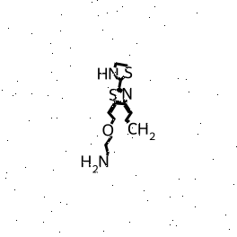 C=C/C=c1/nc(C2NCCS2)s/c1=C/COCCCN